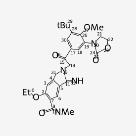 CCOc1cc2c(cc1C(=O)NC)C(=N)N(CC(=O)c1cc(N3CCOC3=O)c(OC)c(C(C)(C)C)c1)C2